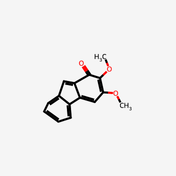 COC1=C(OC)C(=O)C2=Cc3ccccc3C2=C1